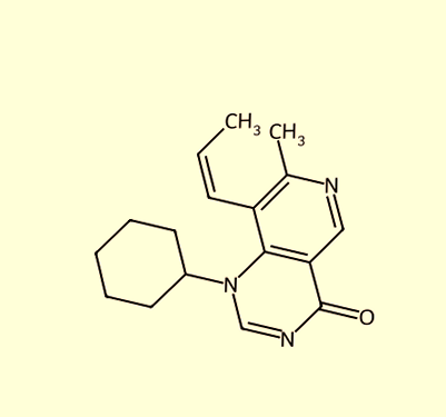 C/C=C\c1c(C)ncc2c(=O)ncn(C3CCCCC3)c12